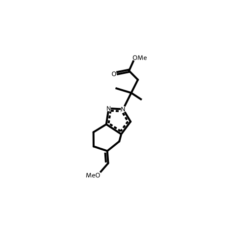 COC=C1CCc2nn(C(C)(C)CC(=O)OC)cc2C1